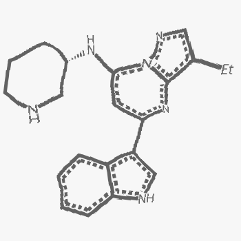 CCc1cnn2c(N[C@H]3CCCNC3)cc(-c3c[nH]c4ccccc34)nc12